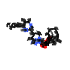 NC(=O)[C@]12CC3CC(C1)[C@@H](OC(=O)N1CCC(c4nccc(C(F)(F)F)n4)C1)C(C3)C2